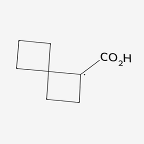 O=C(O)[C]1CCC12CCC2